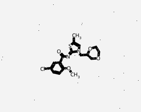 COc1ccc(Cl)cc1C(=O)/N=c1\sc(C)cn1CC1COCCO1